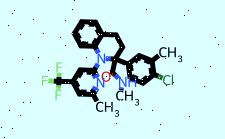 CNC(=O)C1(c2ccc(Cl)c(C)c2)CCc2ccccc2N1c1cc(C(F)(F)F)cc(C)n1